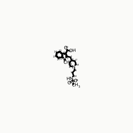 Cn1c(CC2CCN(CCCNS(C)(=O)=O)CC2)c(C(=O)O)c2ccccc21